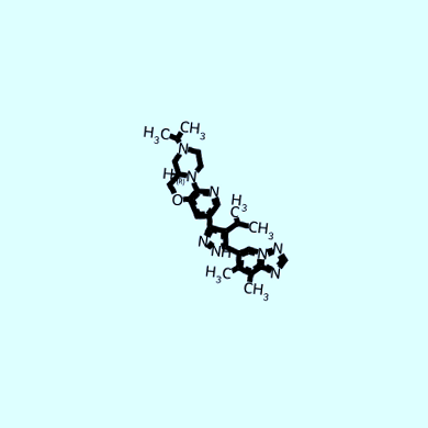 Cc1c(-c2[nH]nc(-c3cnc4c(c3)OC[C@H]3CN(C(C)C)CCN43)c2C(C)C)cn2ncnc2c1C